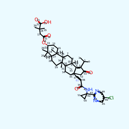 CC(C)C1=C2[C@H]3CC[C@@H]4[C@@]5(C)CC[C@H](OC(=O)CC(C)(C)C(=O)O)C(C)(C)[C@@H]5CC[C@@]4(C)[C@]3(C)CC[C@@]2(/C=C/C(=O)NC2(c3ncc(Cl)cn3)CC2)CC1=O